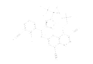 CC(C)(C)CNc1c(C#N)cnc2c(C#N)cc(NC(c3cn(C4(C(F)(F)F)CC4)nn3)c3cccc(C#N)c3Cl)cc12